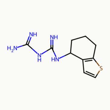 N=C(N)NC(=N)NC1CCCc2sccc21